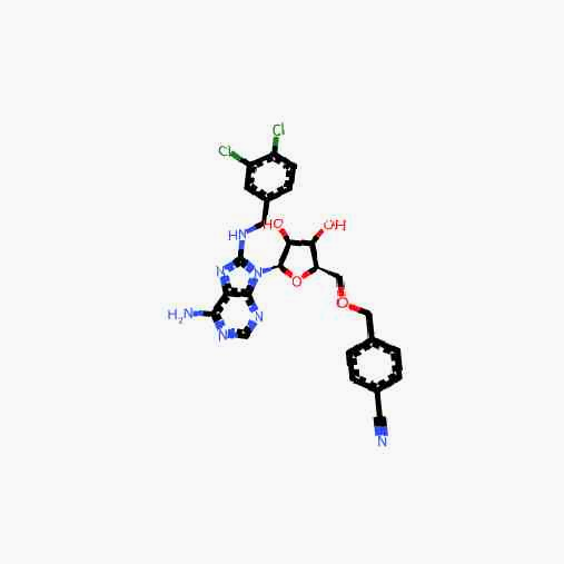 N#Cc1ccc(COC[C@H]2O[C@@H](n3c(NCc4ccc(Cl)c(Cl)c4)nc4c(N)ncnc43)C(O)C2O)cc1